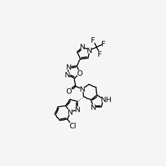 O=C(c1nnc(-c2cnn(C(F)(F)F)c2)o1)N1CCc2[nH]cnc2[C@@H]1c1cc2cccc(Cl)n2n1